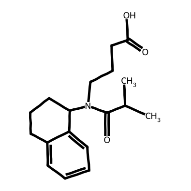 CC(C)C(=O)N(CCCC(=O)O)C1CCCc2ccccc21